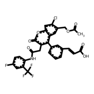 CC(=O)OCc1cc2c(-c3cccc(/C=C/C(=O)O)c3)c(CC(=O)Nc3ccc(F)cc3C(F)(F)F)c(=O)oc2cc1Cl